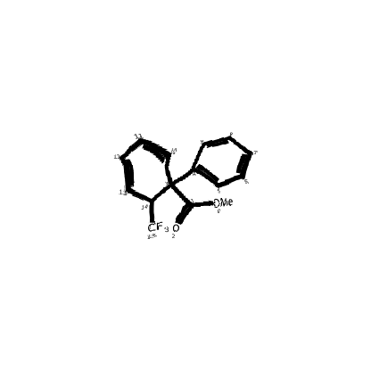 COC(=O)C1(c2ccccc2)C=CC=CC1C(F)(F)F